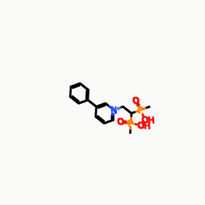 CP(=O)(O)C(C[n+]1cccc(-c2ccccc2)c1)P(C)(=O)O